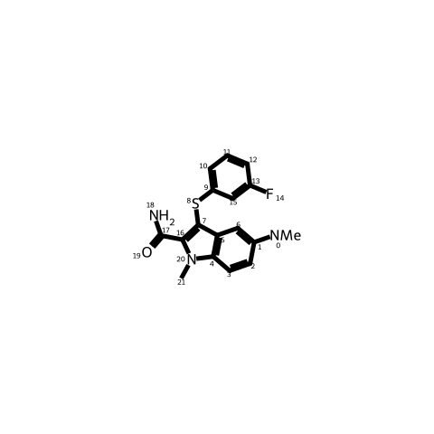 CNc1ccc2c(c1)c(Sc1cccc(F)c1)c(C(N)=O)n2C